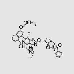 CCc1cccc2cc(OCOC)cc(-c3ncc4c(N5CC6CCC(C5)N6)nc(OC[C@@H]5CC[C@@H](COC(=O)c6ccccc6)N5C)nc4c3F)c12